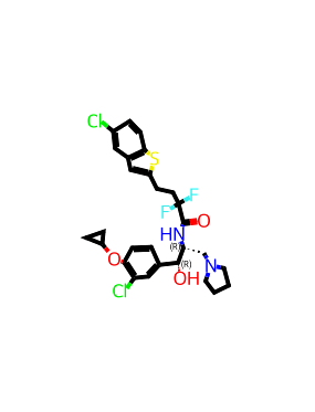 O=C(N[C@H](CN1CCCC1)[C@H](O)c1ccc(OC2CC2)c(Cl)c1)C(F)(F)CCc1cc2cc(Cl)ccc2s1